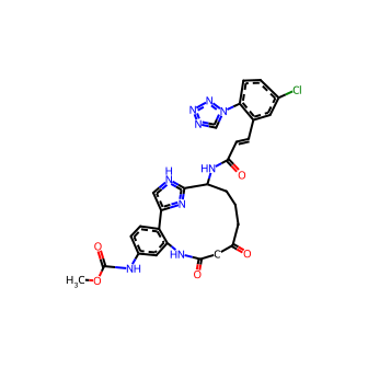 COC(=O)Nc1ccc2c(c1)NC(=O)CC(=O)CCCC(NC(=O)C=Cc1cc(Cl)ccc1-n1cnnn1)c1nc-2c[nH]1